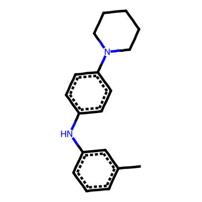 Cc1cccc(Nc2ccc(N3CCCCC3)cc2)c1